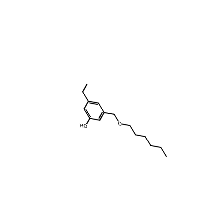 CCCCCCOCc1cc(O)cc(CC)c1